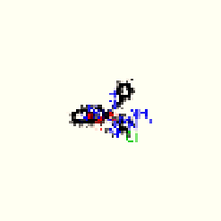 Nc1nc(Cl)c2ncn(CC(=O)NC3CC4CCC(C3)N4c3ccc(C(=O)NCc4ccccc4)cn3)c2n1